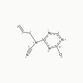 C=CCN(C#N)c1ncnc(Cl)n1